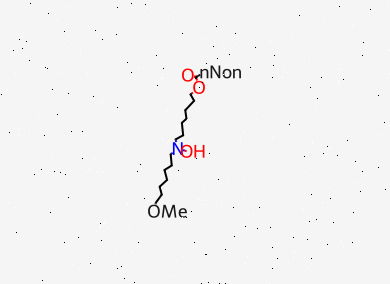 CCCCCCCCCC(=O)OCCCCCCCN(O)CCCCCCCOC